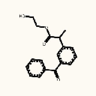 CC(C(=O)OCCO)c1cccc(C(=O)c2ccccc2)c1